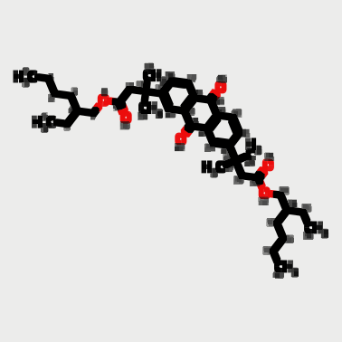 CCCCC(CC)COC(=O)CC(C)(C)c1ccc2c(c1)C(=O)c1cc(C(C)(C)CC(=O)OCC(CC)CCCC)ccc1C2=O